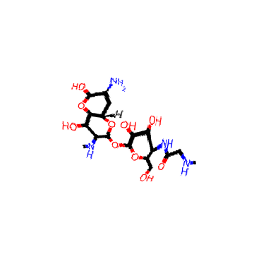 CNCC(=O)NC1C(CO)OC(OC2O[C@H]3C[C@H](N)C(O)OC3C(O)C2NC)C(O)C1O